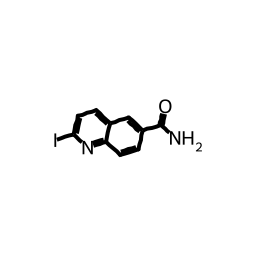 NC(=O)c1ccc2nc(I)ccc2c1